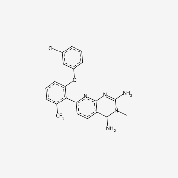 CN1C(N)=Nc2nc(-c3c(Oc4cccc(Cl)c4)cccc3C(F)(F)F)ccc2C1N